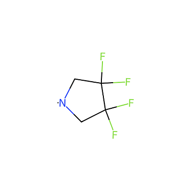 FC1(F)C[N]CC1(F)F